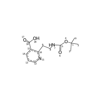 CC(C)(C)OC(=O)NCCc1ncccc1C(=O)O